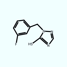 Fc1cccc(Cn2ncnc2S)c1